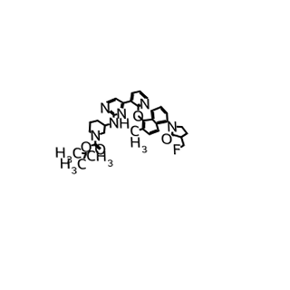 Cc1ccc2c(N3CCC(CF)C3=O)cccc2c1Oc1ncccc1-c1ccnc(NC2CCCN(C(=O)OC(C)(C)C)C2)n1